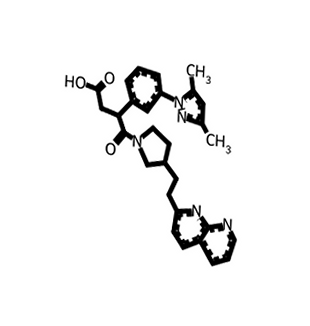 Cc1cc(C)n(-c2cccc(C(CC(=O)O)C(=O)N3CCC(CCc4ccc5cccnc5n4)C3)c2)n1